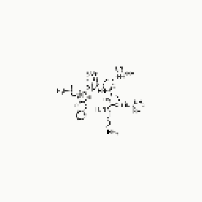 CSCCC(NC(=O)C(CCCNC(=N)N)NC(=O)C(CCCNC(=N)N)NC(=O)C(N)CCCCN)C(=O)NC(Cc1ccccc1)C(=O)NCC(N)=O